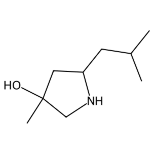 CC(C)CC1CC(C)(O)CN1